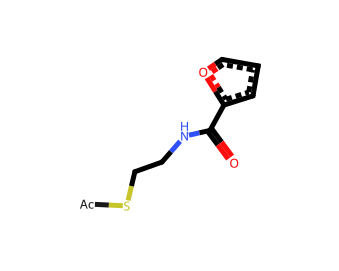 CC(=O)SCCNC(=O)c1ccco1